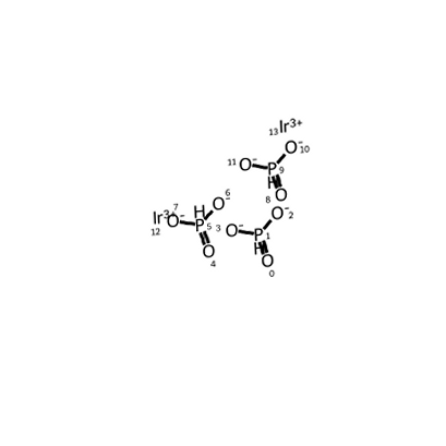 O=[PH]([O-])[O-].O=[PH]([O-])[O-].O=[PH]([O-])[O-].[Ir+3].[Ir+3]